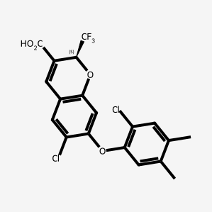 Cc1cc(Cl)c(Oc2cc3c(cc2Cl)C=C(C(=O)O)[C@@H](C(F)(F)F)O3)cc1C